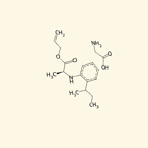 C=CCOC(=O)[C@H](C)Nc1ccccc1C(C)CC.NCC(=O)O